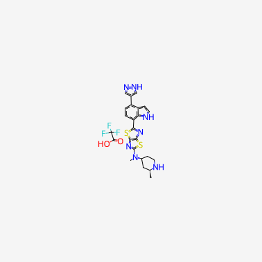 C[C@H]1C[C@@H](N(C)c2nc3sc(-c4ccc(-c5cn[nH]c5)c5cc[nH]c45)nc3s2)CCN1.O=C(O)C(F)(F)F